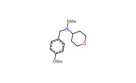 CNN(Cc1ccc(OC)cc1)C1CCOCC1